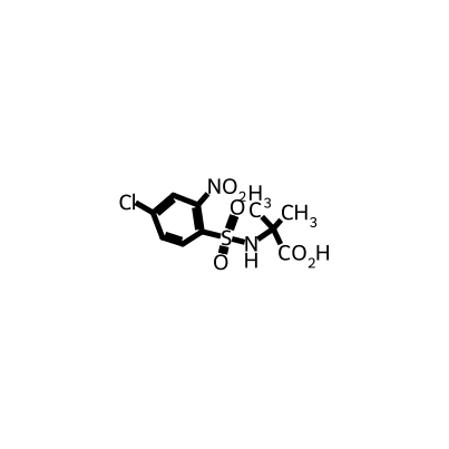 CC(C)(NS(=O)(=O)c1ccc(Cl)cc1[N+](=O)[O-])C(=O)O